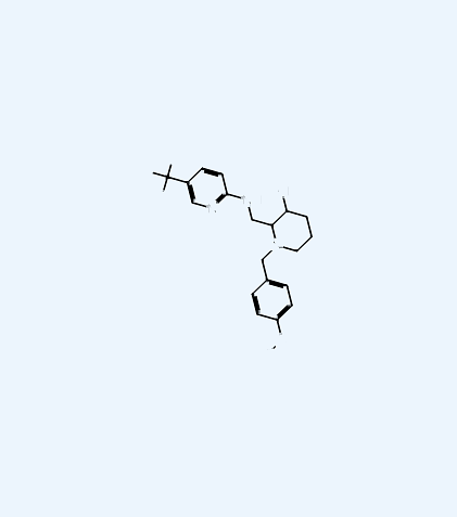 COc1ccc(CN2CCCC(C)C2CNc2ccc(C(F)(F)F)cn2)cc1